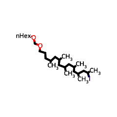 CCCCCCOCOCCCC(C)CC(C)CC(C)CC(C)CC(C)CC(C)I